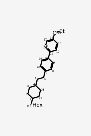 CCCCCCC1CCC(CCc2ccc(-c3ccc(OCC)cn3)cc2)CC1